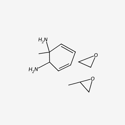 C1CO1.CC1(N)C=CC=CC1N.CC1CO1